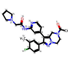 CC(=O)N1CCn2nc(C3=CC(C)C(F)C=C3)c(-c3ccnc(NC(=O)CN4CCCC4)c3)c2C1